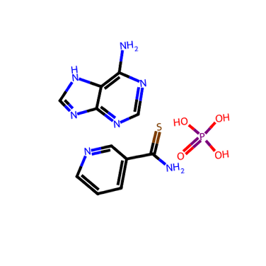 NC(=S)c1cccnc1.Nc1ncnc2nc[nH]c12.O=P(O)(O)O